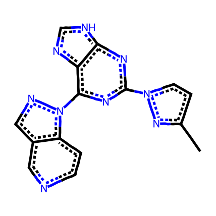 Cc1ccn(-c2nc(-n3ncc4cnccc43)c3nc[nH]c3n2)n1